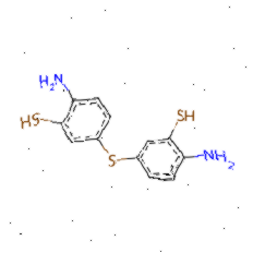 Nc1ccc(Sc2ccc(N)c(S)c2)cc1S